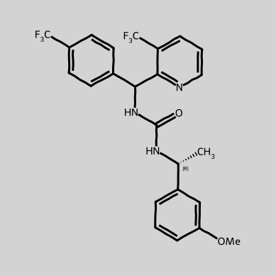 COc1cccc([C@@H](C)NC(=O)NC(c2ccc(C(F)(F)F)cc2)c2ncccc2C(F)(F)F)c1